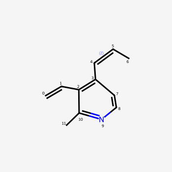 C=Cc1c(/C=C\C)ccnc1C